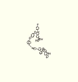 O=C1CCC(N2C(=O)c3ccc(C4CCN(CCCN5CCN(CCOc6ccc(Oc7c(-c8ccc(F)cc8)sc8cc(B(O)O)ccc78)cc6)CC5)CC4)cc3C2=O)C(=O)N1